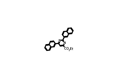 CCOC(=O)c1cc(-c2ccc3ccccc3c2)nc(-c2ccc3ccccc3c2)n1